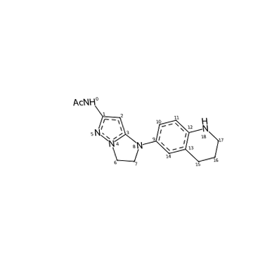 CC(=O)Nc1cc2n(n1)CCN2c1ccc2c(c1)CCCN2